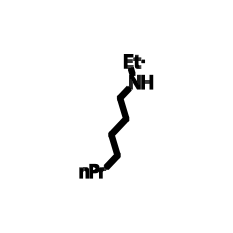 C[CH]NCCCCCCC